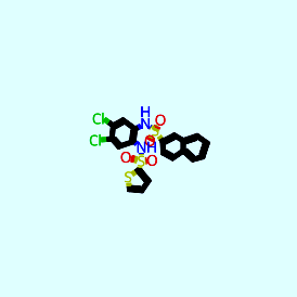 O=S(=O)(Nc1cc(Cl)c(Cl)cc1NS(=O)(=O)c1cccs1)c1ccc2ccccc2c1